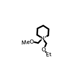 CCOC[N+]1(COC)CCCCC1